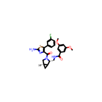 COc1cc(OC)cc(C(=O)NC[C@@H]2C3C[C@H]3CN2C(=O)c2nc(N)sc2-c2cccc(F)c2)c1